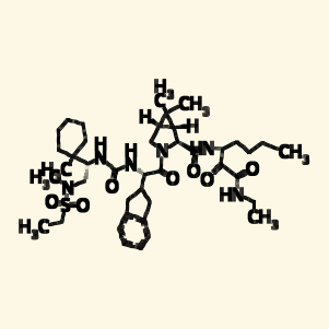 CCCCC(NC(=O)[C@@H]1[C@@H]2[C@H](CN1C(=O)[C@@H](NC(=O)N[C@H](CN(C)S(=O)(=O)CC)C1(C)CCCCC1)C1Cc3ccccc3C1)C2(C)C)C(=O)C(=O)NCC